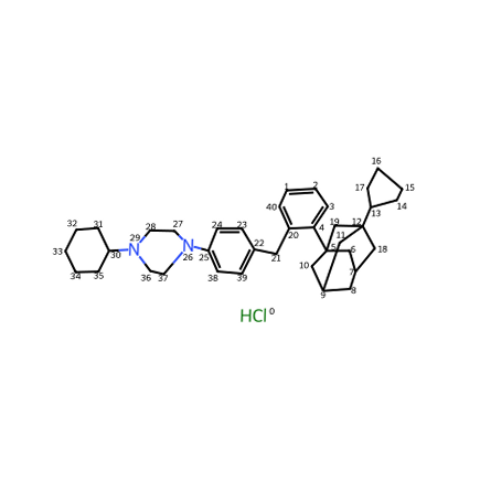 Cl.c1ccc(C23CC4CC(C2)CC(C2CCCC2)(C4)C3)c(Cc2ccc(N3CCN(C4CCCCC4)CC3)cc2)c1